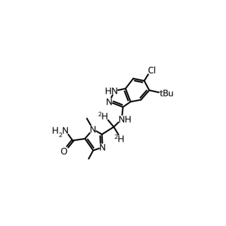 [2H]C([2H])(Nc1n[nH]c2cc(Cl)c(C(C)(C)C)cc12)c1nc(C)c(C(N)=O)n1C